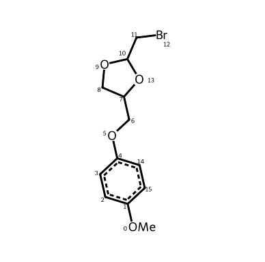 COc1ccc(OCC2COC(CBr)O2)cc1